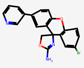 NC1=NC2(CO1)c1cc(Br)ccc1Oc1ccc(-c3cccnc3)cc12